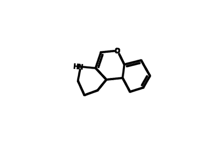 C1=CCC2C(=C1)OC=C1NCCCC12